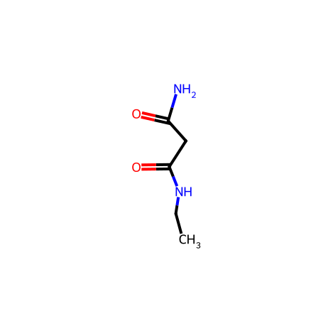 CCNC(=O)CC(N)=O